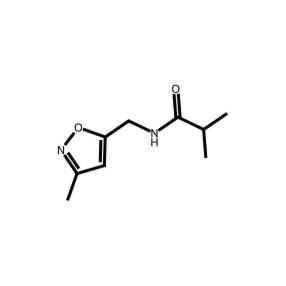 Cc1cc(CNC(=O)C(C)C)on1